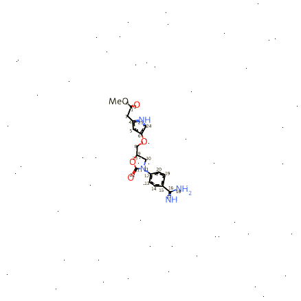 COC(=O)Cc1cc(OCC2CN(c3ccc(C(=N)N)cc3)C(=O)O2)c[nH]1